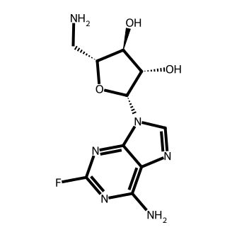 NC[C@H]1O[C@@H](n2cnc3c(N)nc(F)nc32)[C@@H](O)[C@@H]1O